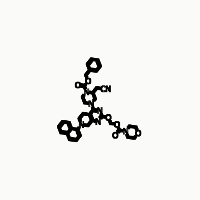 N#CCC1CN(c2nc(OCOC(=O)N3CCOCC3)nc3c2CCN(c2cccc4ccccc24)C3)CCN1C(=O)OCc1ccccc1